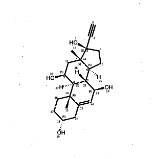 C#C[C@]1(O)CC[C@H]2[C@H]3[C@H]([C@@H](O)C[C@@]21C)[C@@]1(C)CC[C@@H](O)CC1=C[C@@H]3O